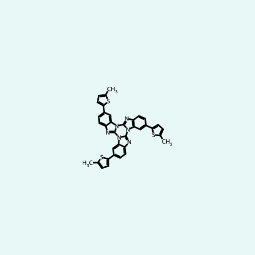 Cc1ccc(-c2ccc3nc4n(c3c2)c2nc3ccc(-c5ccc(C)s5)cc3n2c2nc3ccc(-c5ccc(C)s5)cc3n42)s1